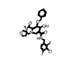 CN1C(=O)C2=C(OCc3ccccc3)C(O)C(C(=O)NCc3ccc(F)c(Cl)c3F)=CN2CC12CCOC2